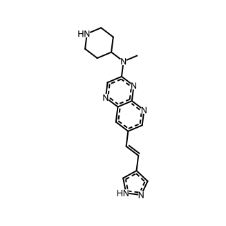 CN(c1cnc2cc(/C=C/c3cn[nH]c3)cnc2n1)C1CCNCC1